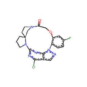 O=C1COc2cc(F)ccc2-n2ncc3c(Cl)nc(nc32)N2CCCC23CCN1C3